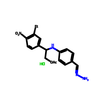 CCc1cc(C(COC(C)=O)Nc2ccc(C=NN)cc2)ccc1[N+](=O)[O-].Cl